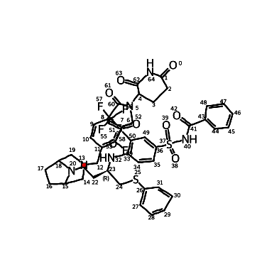 O=C1CCC(N2Cc3c(ccc(CN4CC5CCC(C4)N5CC[C@H](CSc4ccccc4)Nc4ccc(S(=O)(=O)NC(=O)c5ccccc5)cc4S(=O)(=O)C(F)(F)F)c3F)C2=O)C(=O)N1